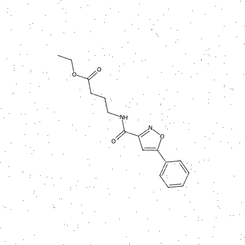 CCOC(=O)CCCNC(=O)c1cc(-c2ccccc2)on1